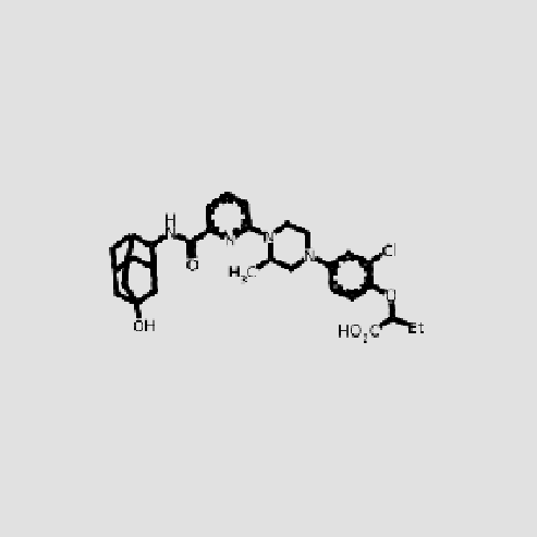 CCC(Oc1ccc(N2CCN(c3cccc(C(=O)NC4C5CC6CC4CC(O)(C6)C5)n3)C(C)C2)cc1Cl)C(=O)O